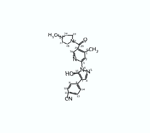 Cc1cc(-n2ncc(-c3ccc(C#N)cc3)c2O)ncc1C(=O)N1CCN(C)CC1